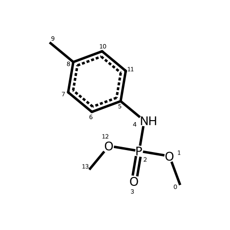 COP(=O)(Nc1ccc(C)cc1)OC